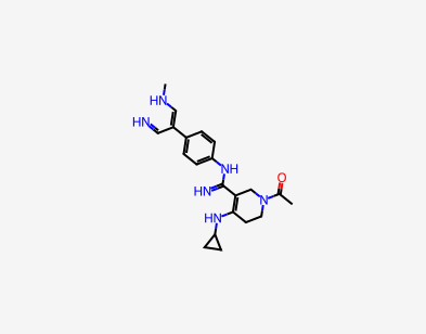 CN/C=C(\C=N)c1ccc(NC(=N)C2=C(NC3CC3)CCN(C(C)=O)C2)cc1